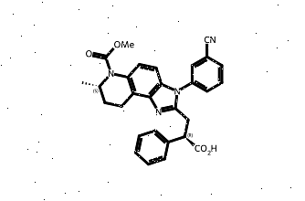 COC(=O)N1c2ccc3c(nc(C[C@@H](C(=O)O)c4ccccc4)n3-c3cccc(C#N)c3)c2CC[C@@H]1C